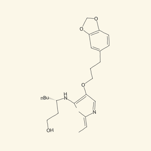 C/C=C(C)/N=C\C(OCCCc1ccc2c(c1)OCO2)=C(/C)N[C@H](CCO)CCCC